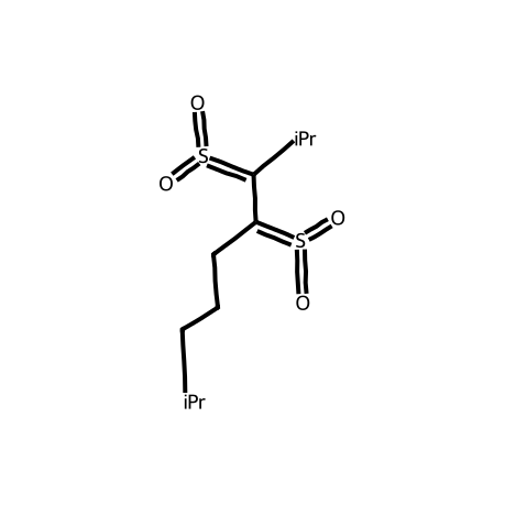 CC(C)CCCC(C(C(C)C)=S(=O)=O)=S(=O)=O